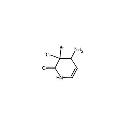 NC1C=CNC(=O)C1(Cl)Br